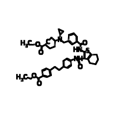 CCOC(=O)c1ccc(CCc2ccc(NC(=O)c3c(NC(=O)c4cccc(CN(C5CCC(C(=O)OCC)CC5)C5CC5)c4)sc4c3CCCC4)cc2)cc1